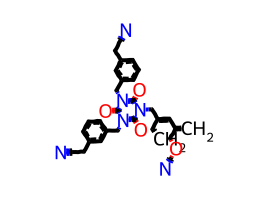 C=C/C(=C\C(=C)COC#N)Cn1c(=O)n(Cc2cccc(CC#N)c2)c(=O)n(Cc2cccc(CC#N)c2)c1=O